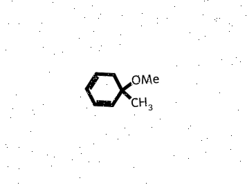 COC1(C)C=CC=CC1